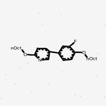 CCCCCCCCOc1ccc(-c2ccc(OCCCCCCCC)c(F)c2)cn1